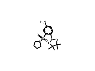 CC1(C)OB(c2ccc(N)cc2S(=O)(=O)N2CCCC2)OC1(C)C